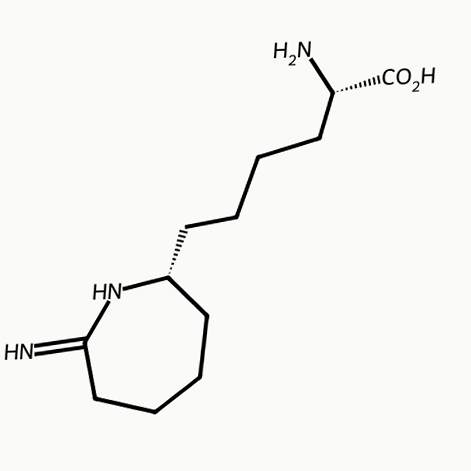 N=C1CCCC[C@@H](CCCC[C@H](N)C(=O)O)N1